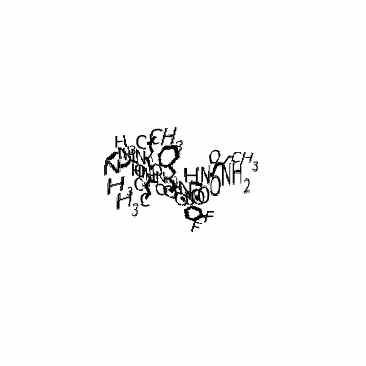 CCC(N)C(=O)C(=O)NC(=O)CN(C(=O)[C@H](CC1CCCCC1)NC(=O)[C@@H](NC(=O)[C@H](CC(C)C)NC(=O)c1cnccn1)[C@@H](C)CC)S(=O)(=O)c1ccc(F)c(F)c1